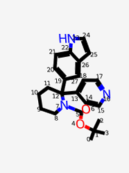 CC(C)(C)OC(=O)N1CCCCC1(c1ccncc1)c1ccc2[nH]ccc2c1